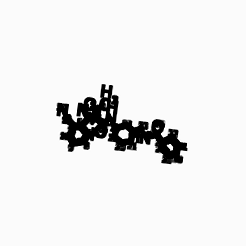 Cc1onc(-c2c(F)cccc2C#N)c1C(=O)NC1CCCC(CNC(=O)c2ccccc2)C1